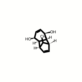 CC1[C@H]2C=C[C@@H]1[C@H]1[C@@H]2[C@@H](O)C=C[C@H]1O